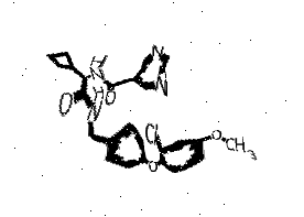 COc1ccc(Oc2ccc(CNC(=O)[C@@H](NC(=O)c3cncnc3)C3CCC3)cc2)c(Cl)c1